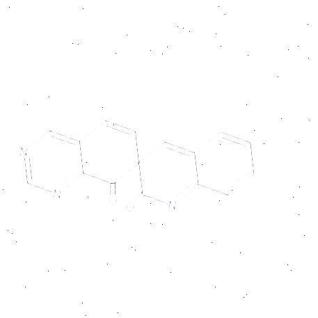 O=C1N=c2ccccc2=CC12C=Cc1cncnc1C2=O